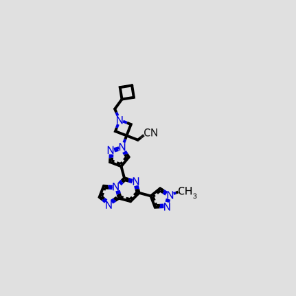 Cn1cc(-c2cc3nccn3c(-c3cnn(C4(CC#N)CN(CC5CCC5)C4)c3)n2)cn1